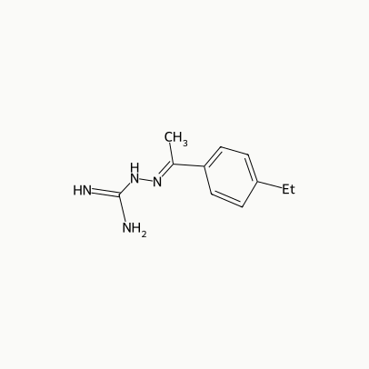 CCc1ccc(C(C)=NNC(=N)N)cc1